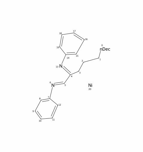 CCCCCCCCCCCCCC(C=Nc1ccccc1)=Nc1ccccc1.[Ni]